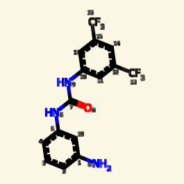 Nc1cccc(NC(=O)Nc2cc(C(F)(F)F)cc(C(F)(F)F)c2)c1